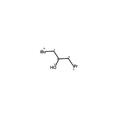 CCC(C)CC(O)CC(C)C